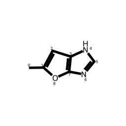 Cc1cc2[nH]cnc2o1